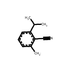 [CH2]c1cccc(C(C)C)c1C#N